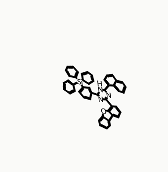 C1=CCC([Si](c2ccccc2)(c2ccccc2)c2cccc(C3=NC(c4cccc5c4oc4ccccc45)=NC(c4cccc5ccccc45)N3)c2)C=C1